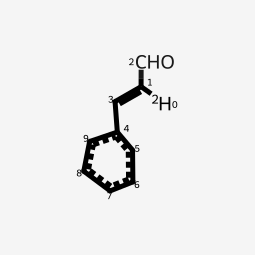 [2H]/C(C=O)=C\c1ccccc1